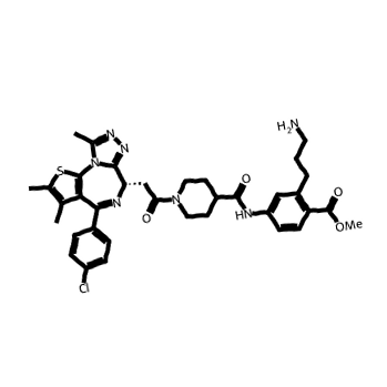 COC(=O)c1ccc(NC(=O)C2CCN(C(=O)C[C@@H]3N=C(c4ccc(Cl)cc4)c4c(sc(C)c4C)-n4c(C)nnc43)CC2)cc1CCCN